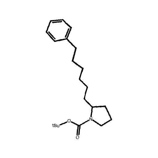 CC(C)(C)OC(=O)N1CCCC1CCCCCCc1ccccc1